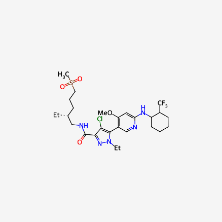 CC[C@H](CCCS(C)(=O)=O)CNC(=O)c1nn(CC)c(-c2cnc(NC3CCCCC3C(F)(F)F)cc2OC)c1Cl